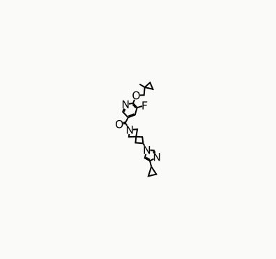 CC1(COc2ncc(C(=O)N3CC4(CC(n5cnc(C6CC6)c5)C4)C3)cc2F)CC1